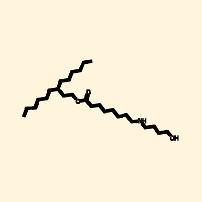 CCCCCCC(CCCCCC)CCOC(=O)CCCCCCCNCCCCO